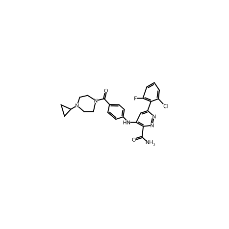 NC(=O)c1nnc(-c2c(F)cccc2Cl)cc1Nc1ccc(C(=O)N2CCN(C3CC3)CC2)cc1